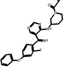 C=CC(=O)N1CCCC(Nc2ncncc2C(=N)c2ccc(Oc3ccccc3)cc2F)C1